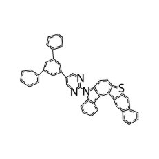 c1ccc(-c2cc(-c3ccccc3)cc(-c3cnc(-n4c5ccccc5c5c6c(ccc54)sc4cc5ccccc5cc46)nc3)c2)cc1